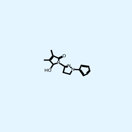 CC1=C(C)C(O)N(C2=NN(c3ccccc3)CC2)C1=O